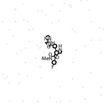 CNC(=O)c1c(-c2ccc(F)cc2)oc2c1cc(-c1cccc(C(=O)NC3(c4ncccn4)CC3)c1)c1[nH]ccc12